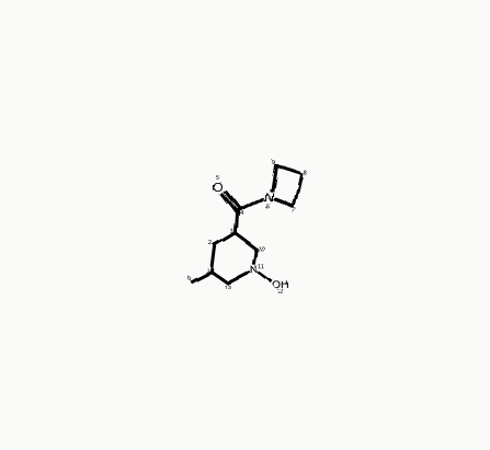 CC1CC(C(=O)N2CCC2)CN(O)C1